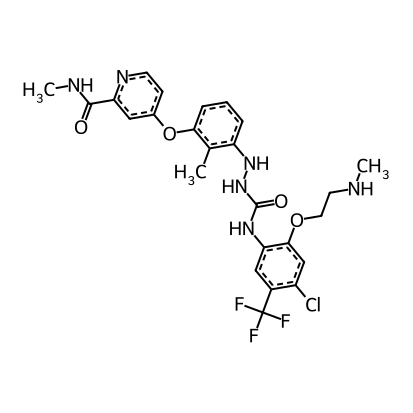 CNCCOc1cc(Cl)c(C(F)(F)F)cc1NC(=O)NNc1cccc(Oc2ccnc(C(=O)NC)c2)c1C